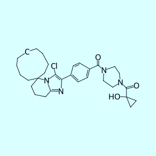 O=C(c1ccc(-c2nc3n(c2Cl)C2(CCCCCCCCC2)CCC3)cc1)N1CCN(C(=O)C2(O)CC2)CC1